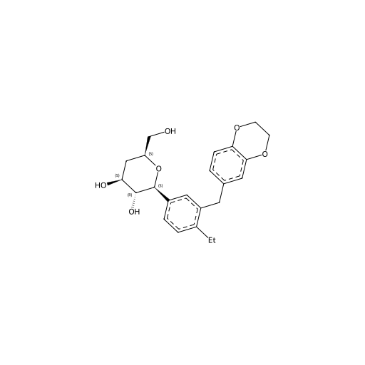 CCc1ccc([C@@H]2O[C@H](CO)C[C@H](O)[C@H]2O)cc1Cc1ccc2c(c1)OCCO2